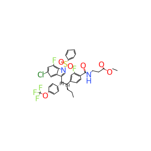 CCC[C@H](c1ccc(C(=O)NCCC(=O)OCC)c(F)c1)[C@H](c1ccc(OC(F)(F)F)cc1)c1cn(S(=O)(=O)c2ccccc2)c2c(F)cc(Cl)cc12